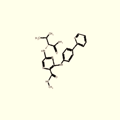 CNC(=O)c1ncc(N[C@@H](C(N)=O)C(C)C)nc1Nc1ccc(-c2ccccn2)cc1